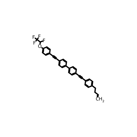 C=CCCc1ccc(C#Cc2ccc(-c3ccc(C#Cc4ccc(OC(F)C(F)(F)F)cc4)cc3)cc2)cc1